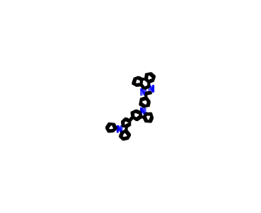 c1ccc(-n2c3ccccc3c3cc(-c4ccc5c(c4)c4ccccc4n5-c4ccc(-c5cnc6c7ccccc7c7ccccc7c6n5)cc4)ccc32)cc1